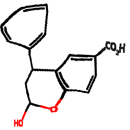 O=C(O)c1ccc2c(c1)C(c1ccccc1)CC(O)O2